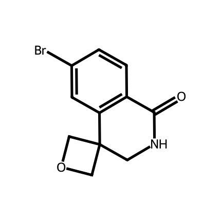 O=C1NCC2(COC2)c2cc(Br)ccc21